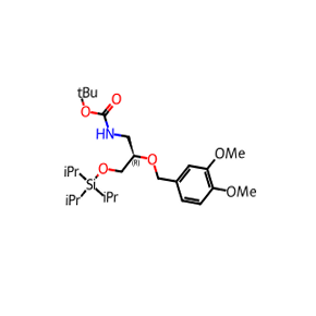 COc1ccc(CO[C@H](CNC(=O)OC(C)(C)C)CO[Si](C(C)C)(C(C)C)C(C)C)cc1OC